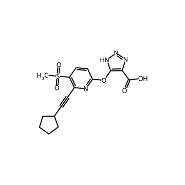 CS(=O)(=O)c1ccc(Oc2[nH]nnc2C(=O)O)nc1C#CC1CCCC1